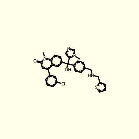 Cn1cncc1C(O)(c1ccc(CNCc2cccs2)cc1)c1ccc2c(c1)c(-c1cccc(Cl)c1)cc(=O)n2C